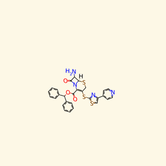 NC1C(=O)N2C(C(=O)OC(c3ccccc3)c3ccccc3)=C(Sc3nc(-c4ccncc4)cs3)CS[C@H]12